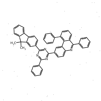 CC1(C)c2ccccc2-c2ccc(-c3nc(-c4ccccc4)nc(-c4ccc5nc(-c6ccccc6)c6cccc(-c7ccccc7)c6c5c4)n3)cc21